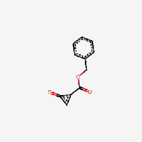 O=C(OCc1ccccc1)c1cc1=O